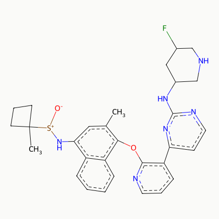 Cc1cc(N[S+]([O-])C2(C)CCC2)c2ccccc2c1Oc1ncccc1-c1ccnc(NC2CNCC(F)C2)n1